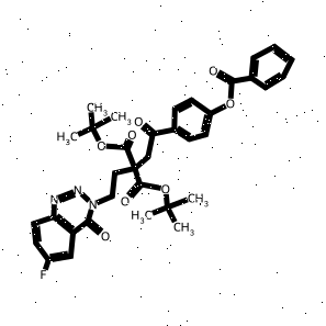 CC(C)(C)OC(=O)C(CCn1nnc2ccc(F)cc2c1=O)(CC(=O)c1ccc(OC(=O)c2ccccc2)cc1)C(=O)OC(C)(C)C